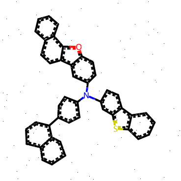 c1ccc2c(-c3ccc(N(c4ccc5c(c4)sc4ccccc45)c4ccc5oc6c7ccccc7ccc6c5c4)cc3)cccc2c1